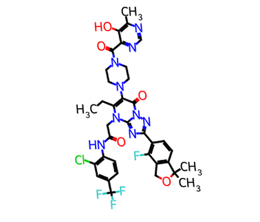 CCc1c(N2CCN(C(=O)c3ncnc(C)c3O)CC2)c(=O)n2nc(-c3ccc4c(c3F)COC4(C)C)nc2n1CC(=O)Nc1ccc(C(F)(F)F)cc1Cl